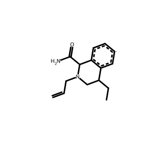 C=CCN1CC(CC)c2c[c]ccc2C1C(N)=O